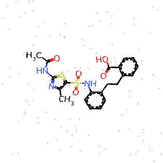 CC(=O)Nc1nc(C)c(S(=O)(=O)Nc2ccccc2CCc2ccccc2C(=O)O)s1